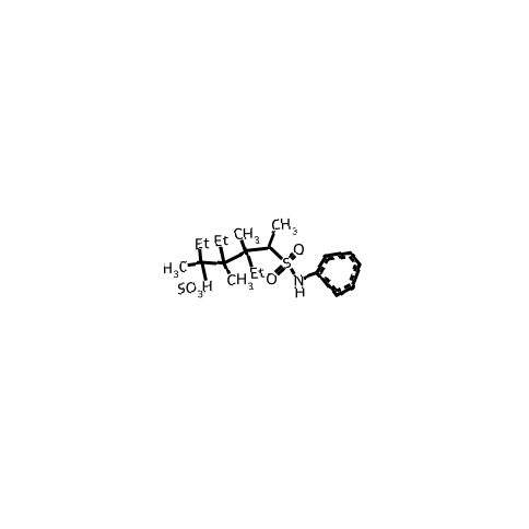 CCC(C)(C(C)S(=O)(=O)Nc1ccccc1)C(C)(CC)C(C)(CC)S(=O)(=O)O